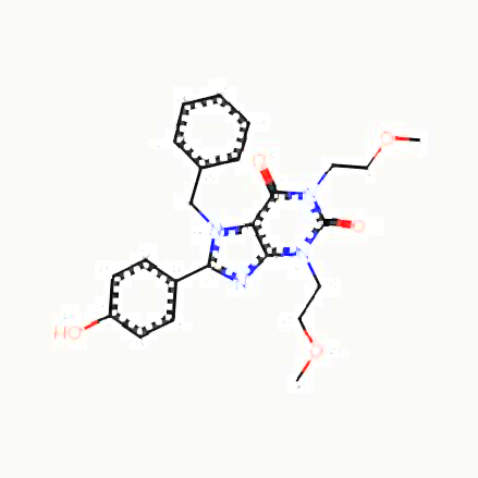 COCCn1c(=O)c2c(nc(-c3ccc(O)cc3)n2Cc2ccccc2)n(CCOC)c1=O